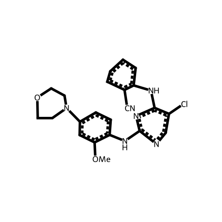 COc1cc(N2CCOCC2)ccc1Nc1ncc(Cl)c(Nc2ccccc2C#N)n1